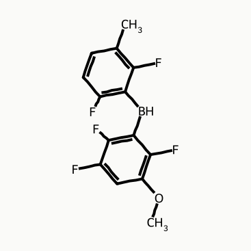 COc1cc(F)c(F)c(Bc2c(F)ccc(C)c2F)c1F